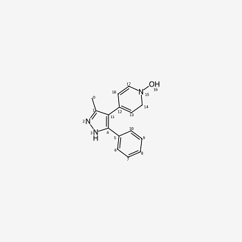 Cc1n[nH]c(-c2ccccc2)c1C1=CCN(O)C=C1